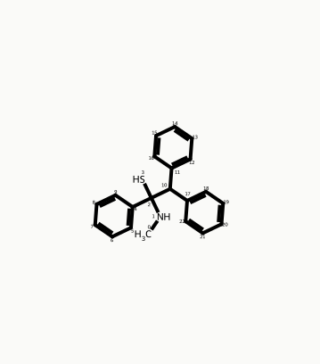 CNC(S)(c1ccccc1)C(c1ccccc1)c1ccccc1